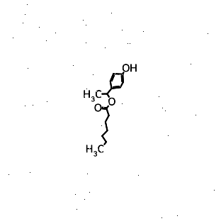 CCCCCCC(=O)OC(C)c1ccc(O)cc1